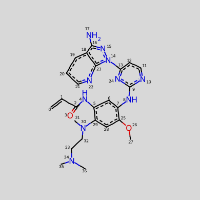 C=CC(=O)Nc1cc(Nc2nccc(-n3nc(N)c4cccnc43)n2)c(OC)cc1N(C)CCN(C)C